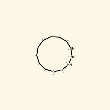 C1CCCCOONNNCCC1